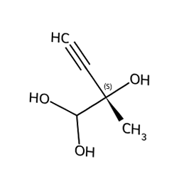 C#C[C@](C)(O)C(O)O